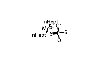 CCCCCC[CH2][Mo+3][CH2]CCCCCC.[O-]P([O-])(=S)[S-]